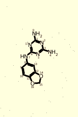 Nc1nc(N)nc(Nc2ccc3c(c2)OCO3)n1